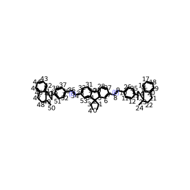 CCC1(CC)c2cc(/C=C/c3ccc(N4c5ccccc5CCC4C)cc3)ccc2-c2ccc(/C=C/c3ccc(N4c5ccccc5CCC4C)cc3)cc21